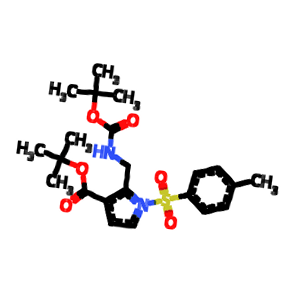 Cc1ccc(S(=O)(=O)n2ccc(C(=O)OC(C)(C)C)c2CNC(=O)OC(C)(C)C)cc1